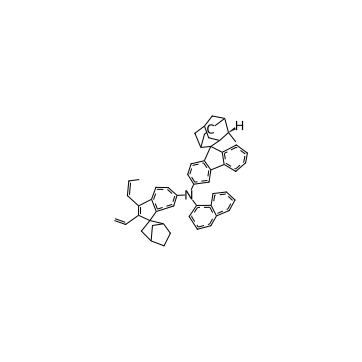 C=CC1=C(/C=C\C)c2ccc(N(c3ccc4c(c3)-c3ccccc3C43C4CCC5CC(C4)CC3[C@H]5C)c3cccc4ccccc34)cc2C12CC1CCC2C1